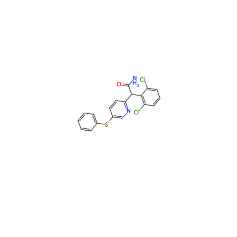 NC(=O)C(c1ccc(Sc2ccccc2)cn1)c1c(Cl)cccc1Cl